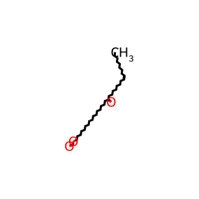 CCCCCCCC/C=C\CCCCCCCC(=O)CCCCCCCCCCCCCCCCOC=O